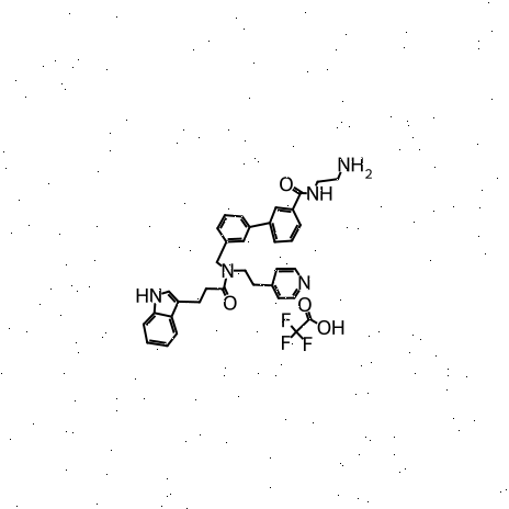 NCCNC(=O)c1cccc(-c2cccc(CN(CCc3ccncc3)C(=O)CCc3c[nH]c4ccccc34)c2)c1.O=C(O)C(F)(F)F